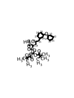 CC(C)(C)C(=O)OC(OC(=O)C(C)(C)C)O[PH](=O)[C@H](CCCc1cccc(Oc2ccccc2)c1)S(=O)(=O)O